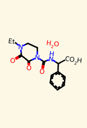 CCN1CCN(C(=O)NC(C(=O)O)c2ccccc2)C(=O)C1=O.O